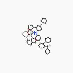 CC1(c2ccccc2)c2ccccc2-c2c(-c3ccc(N(c4ccc(-c5ccccc5)cc4-c4ccccc4)c4ccccc4-c4cccc5cccc(C6CCCCC6)c45)cc3)cccc21